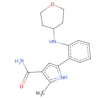 Cc1[nH]c(-c2ccccc2NC2CCOCC2)cc1C(N)=O